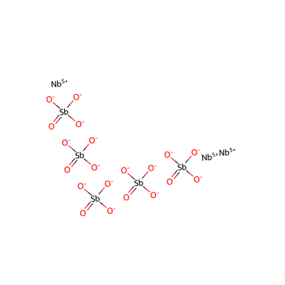 [Nb+5].[Nb+5].[Nb+5].[O]=[Sb]([O-])([O-])[O-].[O]=[Sb]([O-])([O-])[O-].[O]=[Sb]([O-])([O-])[O-].[O]=[Sb]([O-])([O-])[O-].[O]=[Sb]([O-])([O-])[O-]